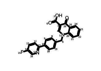 O=C(O)c1cn(Cc2ccc(-c3ccc(F)cn3)cc2)c2ccccc2c1=O